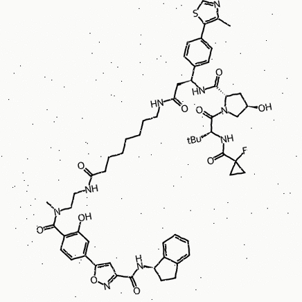 Cc1ncsc1-c1ccc([C@H](CC(=O)NCCCCCCCC(=O)NCCN(C)C(=O)c2ccc(-c3cc(C(=O)N[C@@H]4CCc5ccccc54)no3)cc2O)NC(=O)[C@@H]2C[C@@H](O)CN2C(=O)[C@@H](NC(=O)C2(F)CC2)C(C)(C)C)cc1